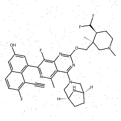 C#Cc1c(F)ccc2cc(O)cc(-c3nc(C)c4c(N5C[C@H]6CC[C@@H](C5)N6)nc(OC[C@]5(C)CN(C)CC[C@@H]5C(F)F)nc4c3F)c12